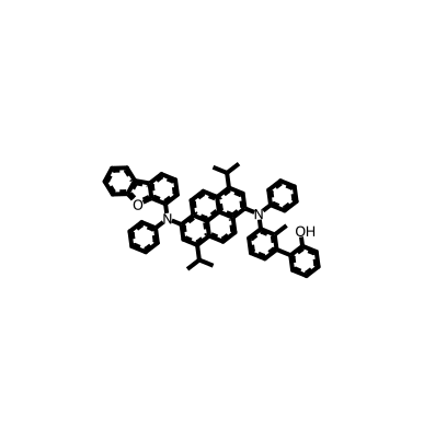 Cc1c(-c2ccccc2O)cccc1N(c1ccccc1)c1cc(C(C)C)c2ccc3c(N(c4ccccc4)c4cccc5c4oc4ccccc45)cc(C(C)C)c4ccc1c2c43